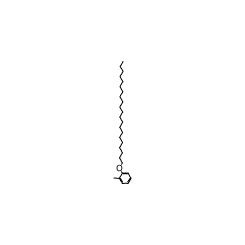 CCCCCCCCCCCCCCCCCCCCCOc1ccccc1C